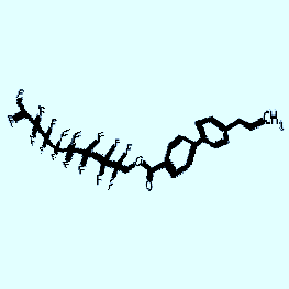 CCCc1ccc(-c2ccc(C(=O)OCC(F)(F)C(F)(F)C(F)(F)C(F)(F)C(F)(F)C(F)(F)C(F)(F)C(F)F)cc2)cc1